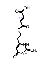 C=C1NC(=O)C=C(CCOC(=O)/C=C/C(=O)O)N1